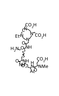 CCN1CCN(CC(=O)O)CCN(CC(=O)O)CCN(CC(=O)NC(CSSCC(NC(=O)CCC(NC(=O)C(CCC(=O)O)NC)C(C)=O)C(N)=O)OCN)CC1